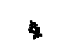 CCc1c[nH]c2nc3cc(c12)NC(C)CC1=C(CCC(C)=C1)N3